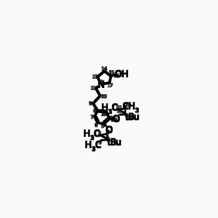 CC(C)(C)[Si](C)(C)Oc1ccc(CCCN2CCC(O)C2)cc1O[Si](C)(C)C(C)(C)C